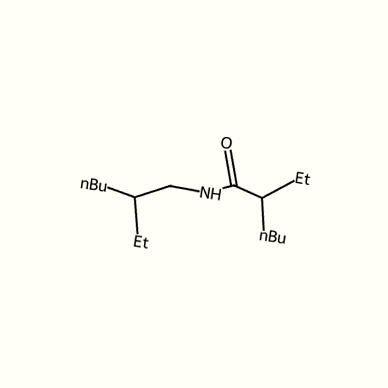 CCCCC(CC)CNC(=O)C(CC)CCCC